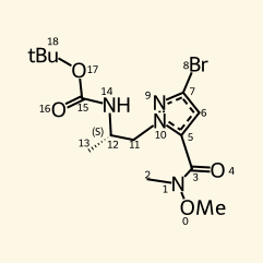 CON(C)C(=O)c1cc(Br)nn1C[C@H](C)NC(=O)OC(C)(C)C